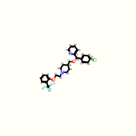 FC(F)(F)c1ccccc1OCCN1CCC(COC(c2ccc(Cl)cc2)c2ccccn2)CC1